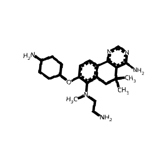 CN(CCN)c1c(OC2CCC(N)CC2)ccc2c1CC(C)(C)c1c(N)ncnc1-2